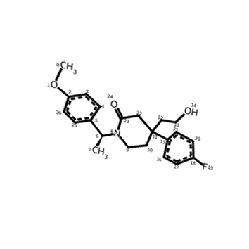 COc1ccc([C@H](C)N2CCC(CCO)(c3ccc(F)cc3)CC2=O)cc1